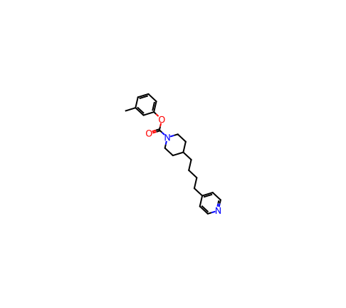 Cc1cccc(OC(=O)N2CCC(CCCCc3ccncc3)CC2)c1